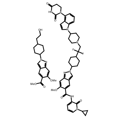 COC(=O)c1cc2cn(C3CCC(CCO)CC3)nc2cc1OC.COc1cc2nn(C3CCC(C(F)(F)CN4CCC(n5ccc6c(N7CCC(=O)NC7=O)cccc65)CC4)CC3)cc2cc1C(=O)Nc1cccn(C2CC2)c1=O